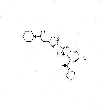 O=C(CC1CSC(c2cc3cc(Cl)cc(NC4CCCC4)c3[nH]2)=N1)N1CCCCC1